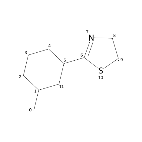 CC1CCCC(C2=NC[CH]S2)C1